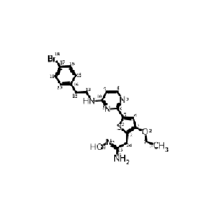 CCOc1cc(-c2nccc(NCCc3ccc(Br)cc3)n2)sc1CC(N)=NO